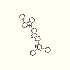 c1ccc(-c2cc(-c3ccc4c(c3)sc3cc(-n5c6ccccc6c6c(-c7ccccc7)cccc65)ccc34)nc(-c3ccccc3)n2)cc1